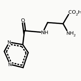 NC(CNC(=O)c1ccncn1)C(=O)O